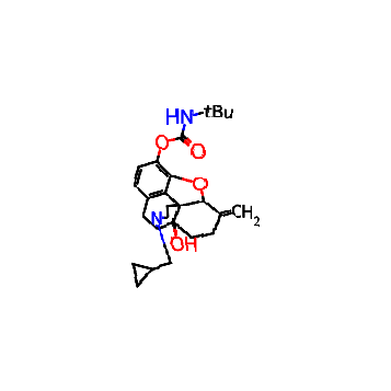 C=C1CCC2(O)C3Cc4ccc(OC(=O)NC(C)(C)C)c5c4C2(CCN3CC2CC2)C1O5